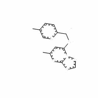 Cc1cc(N[C@H](c2ccc(C(F)(F)F)cn2)C(C)C)n2ncnc2n1